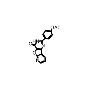 CC(=O)Oc1ccc(-c2nc3c(oc4ncccc43)c(=O)[nH]2)cc1